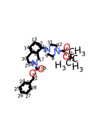 CC(C)(C)OC(=O)N1CCN(c2cccc3c2CN(C(=O)OCc2ccccc2)CC3)CC1